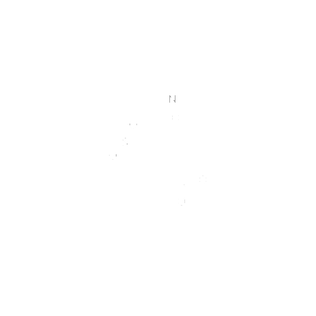 CCOC(=O)c1ccc(S(C)(=O)=O)c(-c2cc(C)no2)c1C